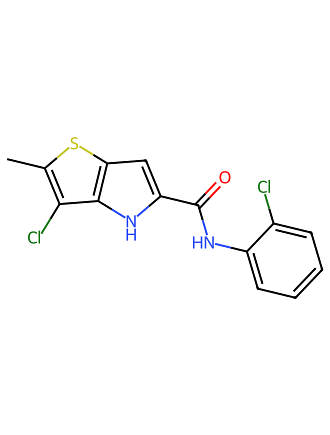 Cc1sc2cc(C(=O)Nc3ccccc3Cl)[nH]c2c1Cl